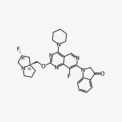 O=C1CN(c2ncc3c(N4CCCCC4)nc(OC[C@@]45CCCN4C[C@H](F)C5)nc3c2F)c2ccccc21